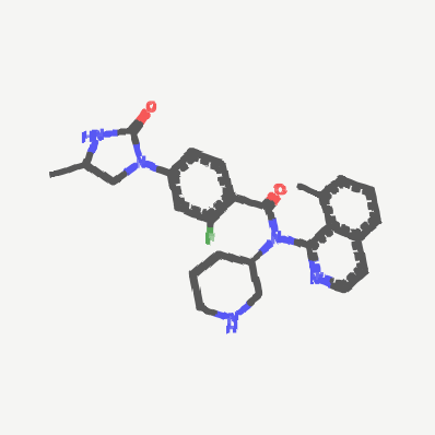 Cc1cccc2ccnc(N(C(=O)c3ccc(N4CC(C)NC4=O)cc3F)[C@@H]3CCCNC3)c12